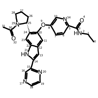 CCNC(=O)c1ccc(Oc2cc3cc(-c4cnccn4)[nH]c3cc2[C@H]2CCCN2C(C)=O)cn1